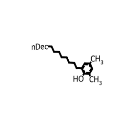 CCCCCCCCCCCCCCCCCCc1cc(C)cc(C)c1O